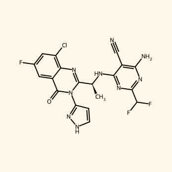 C[C@H](Nc1nc(C(F)F)nc(N)c1C#N)c1nc2c(Cl)cc(F)cc2c(=O)n1-c1cc[nH]n1